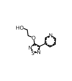 OCCOc1nsnc1-c1cccnc1